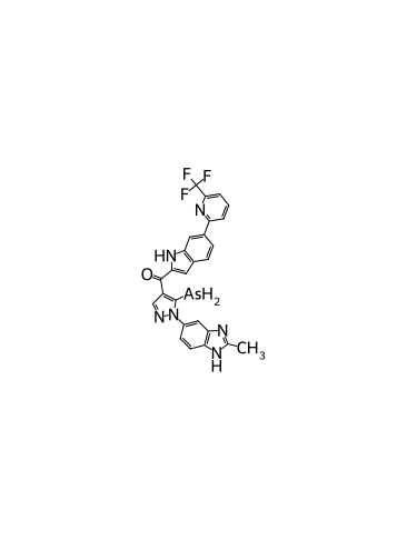 Cc1nc2cc(-n3ncc(C(=O)c4cc5ccc(-c6cccc(C(F)(F)F)n6)cc5[nH]4)c3[AsH2])ccc2[nH]1